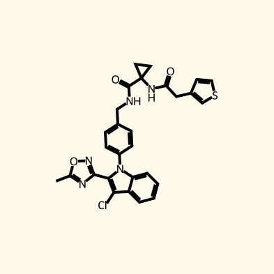 Cc1nc(-c2c(Cl)c3ccccc3n2-c2ccc(CNC(=O)C3(NC(=O)Cc4ccsc4)CC3)cc2)no1